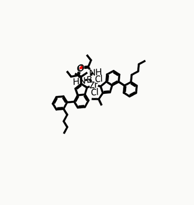 CCCCc1ccccc1-c1cccc2c1C=C(C(C)C)[CH]2[Zr]([Cl])([Cl])([B](NC(=O)CC)NC(=O)CC)[CH]1C(C(C)C)=Cc2c(-c3ccccc3CCCC)cccc21